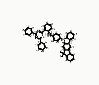 CC1(C)c2ccccc2-c2cc3c4ccccc4n(-c4ccc(Nc5ccccc5-c5nc(-c6ccccc6)nc(-c6ccccc6)n5)cc4)c3cc21